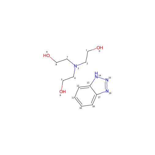 OCCN(CCO)CCO.c1ccc2[nH]nnc2c1